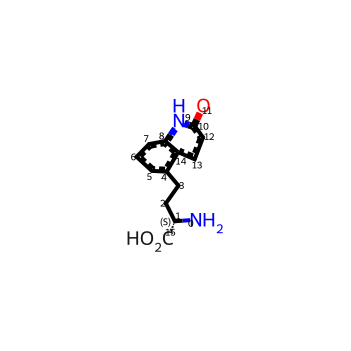 N[C@@H](CCc1cccc2[nH]c(=O)ccc12)C(=O)O